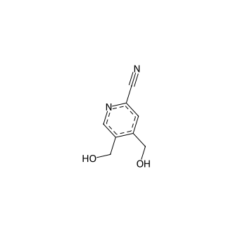 N#Cc1cc(CO)c(CO)cn1